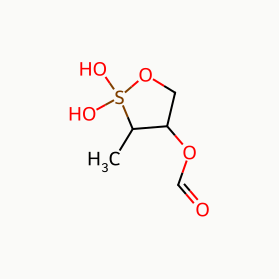 CC1C(OC=O)COS1(O)O